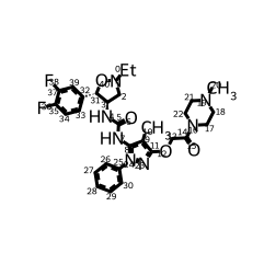 CCN1C[C@@H](NC(=O)Nc2c(C)c(OCC(=O)N3CCN(C)CC3)nn2-c2ccccc2)[C@H](c2ccc(F)c(F)c2)O1